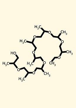 CCOC(C)COC(C)COC(C)COC(C)COC(C)COC(C)COC(C)COC(C)CO